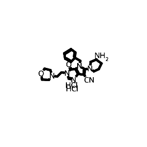 Cl.Cl.N#Cc1c(N2CCCC(N)C2)n(Cc2ccccc2)c2c(=O)n(CCN3CCOCC3)cnc12